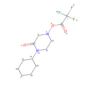 O=C1CN(OC(=O)C(F)(F)F)CCN1C1CCCCC1